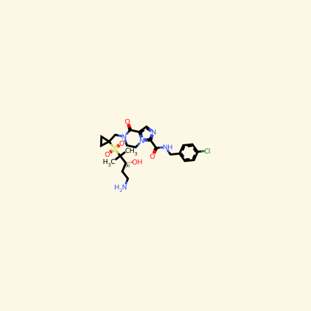 CC(C)([C@H](O)CCN)S(=O)(=O)C1(CN2CCn3c(cnc3C(=O)NCc3ccc(Cl)cc3)C2=O)CC1